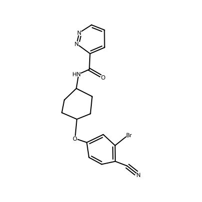 N#Cc1ccc(OC2CCC(NC(=O)c3cccnn3)CC2)cc1Br